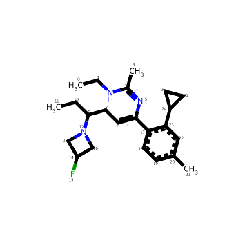 CCN/C(C)=N\C(=C/CC(CC)N1CC(F)C1)c1ccc(C)cc1C1CC1